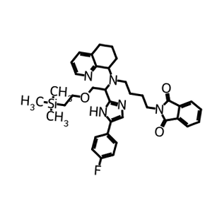 C[Si](C)(C)CCOCC(c1ncc(-c2ccc(F)cc2)[nH]1)N(CCCCN1C(=O)c2ccccc2C1=O)C1CCCc2cccnc21